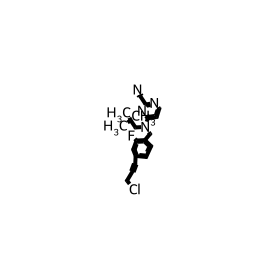 CC(C)(C)CN(Cc1ccc(C#CCCl)cc1F)c1ccnc(C#N)n1